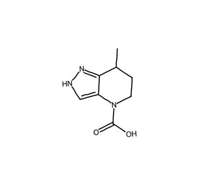 CC1CCN(C(=O)O)c2c[nH]nc21